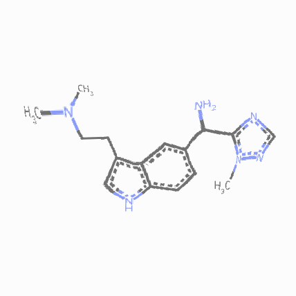 CN(C)CCc1c[nH]c2ccc(C(N)c3ncnn3C)cc12